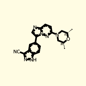 C[C@@H]1CN(c2ccc3ncc(-c4ccc5[nH]nc(C#N)c5c4)n3n2)C[C@H](C)O1